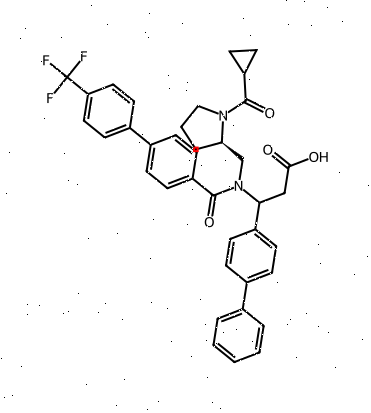 O=C(O)CC(c1ccc(-c2ccccc2)cc1)N(C[C@H]1CCCN1C(=O)C1CC1)C(=O)c1ccc(-c2ccc(C(F)(F)F)cc2)cc1